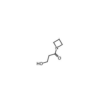 O=C(CCO)N1C[CH]C1